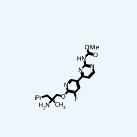 COC(=O)Nc1nccc(-c2cnc(OC[C@](C)(N)CC(C)C)c(F)c2)n1